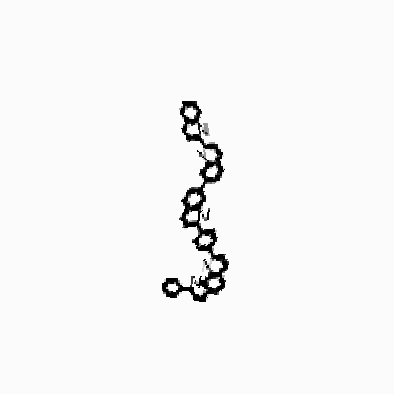 c1ccc(-c2ccc3ccc4ccc(-c5ccc(-c6ccc7ccc(-c8ccc9ccc(-c%10ccc%11ccccc%11n%10)nc9c8)cc7n6)cc5)nc4c3n2)cc1